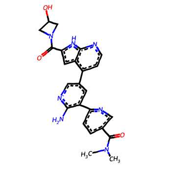 CN(C)C(=O)c1ccc(-c2cc(-c3ccnc4[nH]c(C(=O)N5CC(O)C5)cc34)cnc2N)nc1